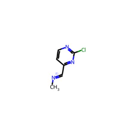 C/N=C/c1ccnc(Cl)n1